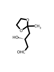 CC1(C[C@@H](O)CC=O)OCCO1